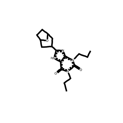 CCCn1c(=O)c2[nH]c(C3CC4CCC(C3)O4)nc2n(CCC)c1=O